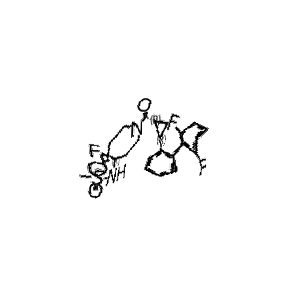 CS(=O)(=O)N[C@@H]1CCN(C(=O)[C@@H]2C[C@H]2c2ccccc2-c2c(F)cccc2F)CCC1(F)F